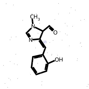 CN1C=N/C(=C\c2ccccc2O)C1C=O